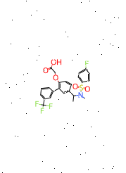 CC(c1ccc(OCC(=O)O)c(-c2cccc(C(F)(F)F)c2)c1)N(C)S(=O)(=O)c1ccc(F)cc1